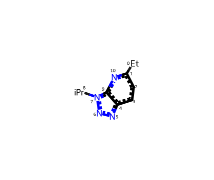 CCc1ccc2nnn(C(C)C)c2n1